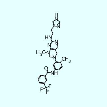 Cc1ccc(NC(=O)c2cccc(C(F)(F)F)c2)cc1N1Cc2cnc(NCCc3c[nH]cn3)nc2N(C)C1